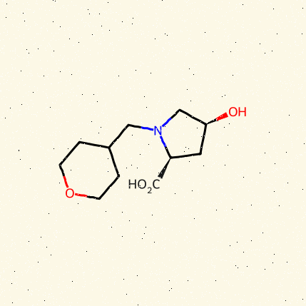 O=C(O)[C@@H]1C[C@H](O)CN1CC1CCOCC1